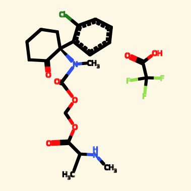 CNC(C)C(=O)OCOC(=O)N(C)[C@]1(c2ccccc2Cl)CCCCC1=O.O=C(O)C(F)(F)F